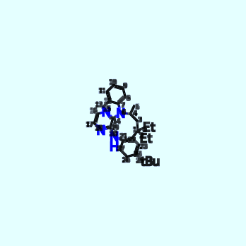 CCC1(CC)CC(C)N(c2ccccc2C)c2nccnc2NC2=C1C=C(C(C)(C)C)CC2